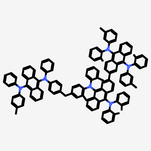 Cc1ccc(N(c2ccccc2)c2c3ccccc3c(N(c3ccccc3)c3ccc(Cc4ccc(N(c5ccccc5C)c5c6ccccc6c(N(c6ccccc6C)c6ccccc6C)c6ccc(-c7ccc8c(N(c9cccc(C)c9)c9ccccc9C)c9ccccc9c(N(c9cccc(C)c9)c9ccccc9C)c8c7)cc56)c(C)c4)cc3)c3ccccc23)cc1